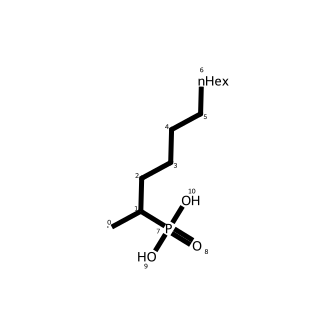 [CH2]C(CCCCCCCCCC)P(=O)(O)O